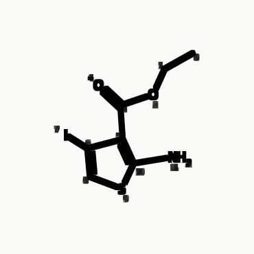 CCOC(=O)c1c(I)csc1N